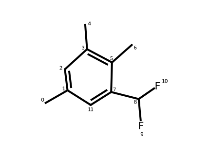 Cc1cc(C)c(C)c(C(F)F)c1